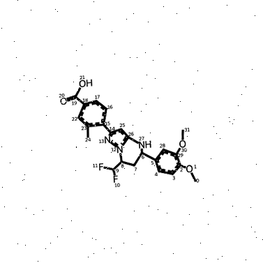 COc1ccc(C2CC(C(F)F)n3nc(-c4ccc(C(=O)O)cc4C)cc3N2)cc1OC